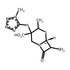 CC1S[C@@H]2C(N)C(=O)N2CC1(Sc1nnnn1C)C(=O)O